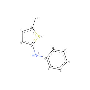 Cc1ccc(Nc2ccccc2)s1